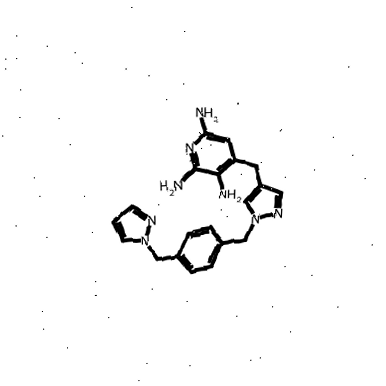 Nc1cc(Cc2cnn(Cc3ccc(Cn4cccn4)cc3)c2)c(N)c(N)n1